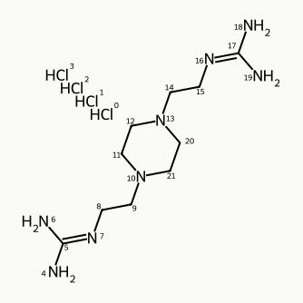 Cl.Cl.Cl.Cl.NC(N)=NCCN1CCN(CCN=C(N)N)CC1